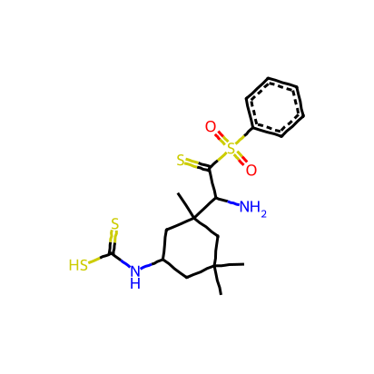 CC1(C)CC(NC(=S)S)CC(C)(C(N)C(=S)S(=O)(=O)c2ccccc2)C1